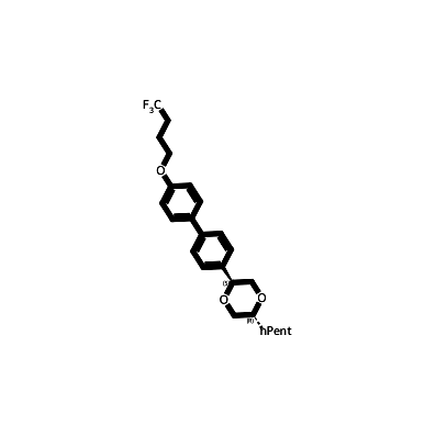 CCCCC[C@@H]1CO[C@@H](c2ccc(-c3ccc(OCCCC(F)(F)F)cc3)cc2)CO1